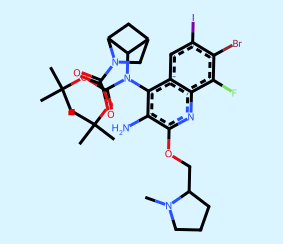 CN1CCCC1COc1nc2c(F)c(Br)c(I)cc2c(N(C(=O)OC(C)(C)C)C2C3CC2N(C(=O)OC(C)(C)C)C3)c1N